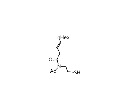 CCCCCCC=CCC(=O)N(CCS)C(C)=O